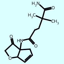 CC(C)(C[CH]C(=O)NC12CC=CC1OCC2=O)C(N)=O